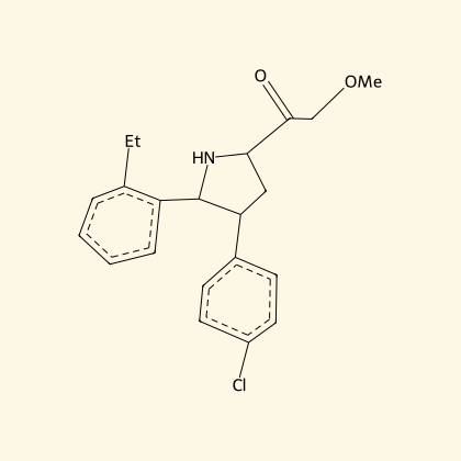 CCc1ccccc1C1NC(C(=O)COC)CC1c1ccc(Cl)cc1